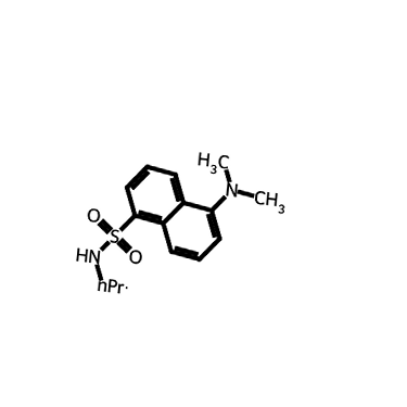 CC[CH]NS(=O)(=O)c1cccc2c(N(C)C)cccc12